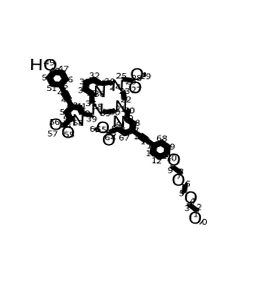 COCCOCCOCCOc1ccc(C#Cc2cc(CN3CCN(CC(=O)OC)Cc4cccc(n4)CN(Cc4cc(C#Cc5ccc(O)cc5)cc(C(=O)OC)n4)CC3)nc(C(=O)OC)c2)cc1